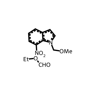 CCOC=O.COCn1ccc2cccc([N+](=O)[O-])c21